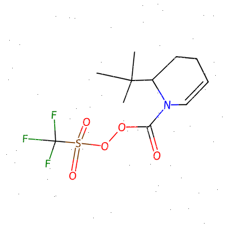 CC(C)(C)C1CCC=CN1C(=O)OOS(=O)(=O)C(F)(F)F